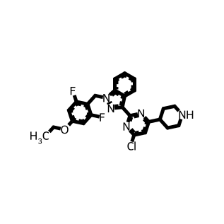 CCOc1cc(F)c(Cn2nc(-c3nc(Cl)cc(C4CCNCC4)n3)c3ccccc32)c(F)c1